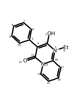 CC[n+]1c(O)c(-c2ccccc2)c(=O)n2ccccc21